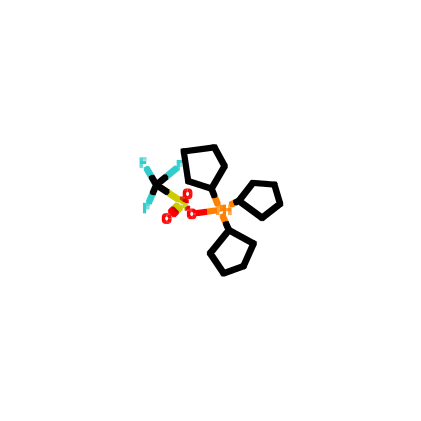 O=S(=O)(O[PH](C1CCCC1)(C1CCCC1)C1CCCC1)C(F)(F)F